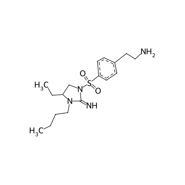 CCCCN1C(=N)N(S(=O)(=O)c2ccc(CCN)cc2)CC1CC